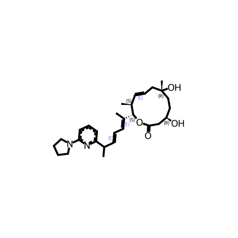 C/C(=C\C=C\C(C)c1cccc(N2CCCC2)n1)[C@H]1OC(=O)C[C@H](O)CC[C@@](C)(O)C/C=C/[C@@H]1C